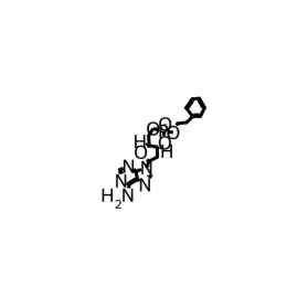 Nc1ncnc2c1ncn2C1C[C@@H]2OP(=O)(OCCc3ccccc3)OC[C@H]2O1